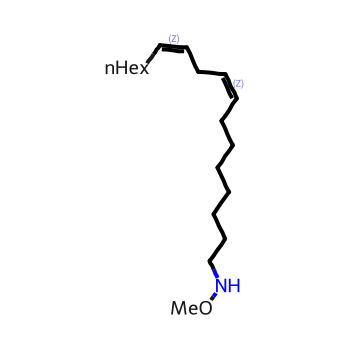 CCCCCC/C=C\C/C=C\CCCCCCCNOC